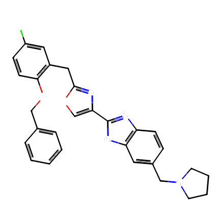 Clc1ccc(OCc2ccccc2)c(Cc2nc(-c3nc4ccc(CN5CCCC5)cc4[nH]3)co2)c1